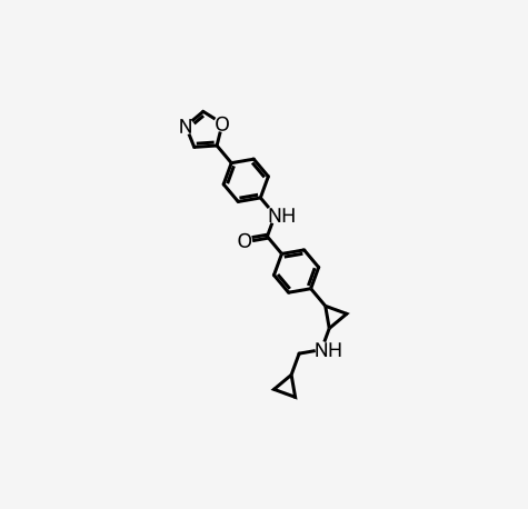 O=C(Nc1ccc(-c2cnco2)cc1)c1ccc(C2CC2NCC2CC2)cc1